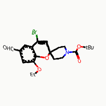 CCOc1cc(C=O)cc2c1OC1(C=C2Br)CCN(C(=O)OC(C)(C)C)CC1